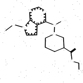 CSCNC(=O)C1CCCN(N(C)c2ncnc3c2ccn3SI)C1